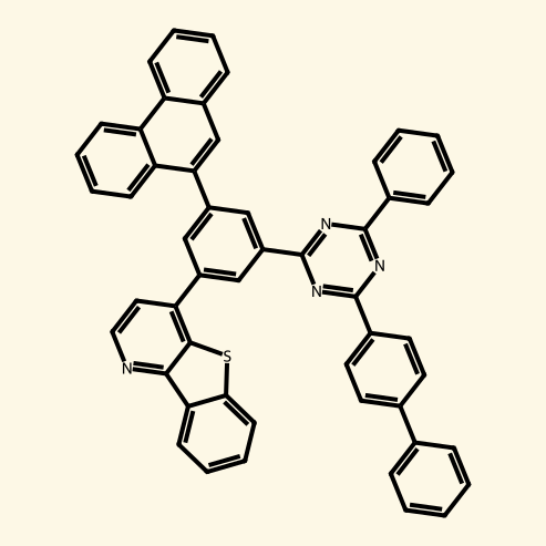 c1ccc(-c2ccc(-c3nc(-c4ccccc4)nc(-c4cc(-c5cc6ccccc6c6ccccc56)cc(-c5ccnc6c5sc5ccccc56)c4)n3)cc2)cc1